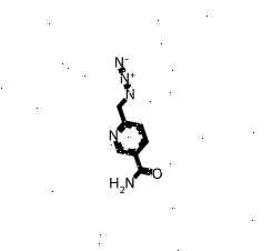 [N-]=[N+]=NCc1ccc(C(N)=O)cn1